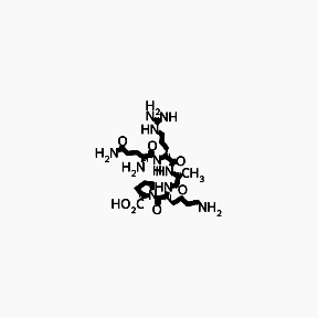 C[C@H](NC(=O)[C@H](CCCNC(=N)N)NC(=O)[C@@H](N)CCC(N)=O)C(=O)N[C@@H](CCCCN)C(=O)N1CCC[C@H]1C(=O)O